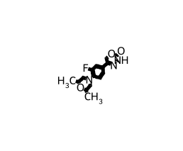 CC1CN(c2ccc(C3=NNC(=O)OC3)cc2F)CC(C)O1